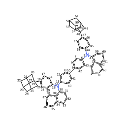 c1ccc2c(N(c3ccc(-c4ccc(N(c5ccc(C67CC8CC9CC(C6)C987)cc5)c5cccc6ccccc56)cc4)cc3)c3ccc(C45CC6CC(CC4C6)C5)cc3)cccc2c1